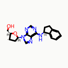 OC[C@H]1[CH][CH][C@H](n2cnc3c(N[C@H]4CCc5ccccc54)ncnc32)O1